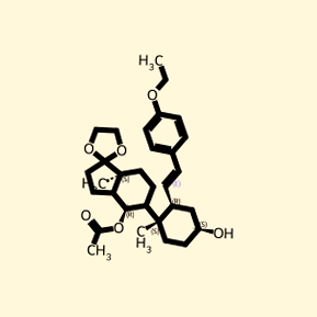 CCOc1ccc(/C=C/[C@H]2C[C@@H](O)CC[C@]2(C)C2CC[C@@]3(C)C(CCC34OCCO4)[C@@H]2OC(C)=O)cc1